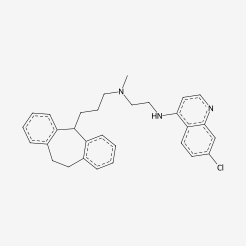 CN(CCCC1c2ccccc2CCc2ccccc21)CCNc1ccnc2cc(Cl)ccc12